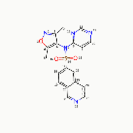 Cc1noc(C)c1N(c1ccncn1)S(=O)(=O)c1ccc2cnccc2c1